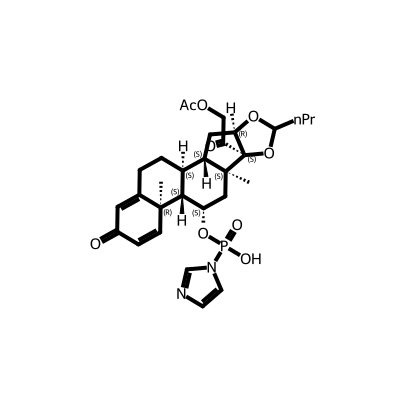 CCCC1O[C@@H]2C[C@H]3[C@@H]4CCC5=CC(=O)C=C[C@]5(C)[C@H]4[C@@H](OP(=O)(O)n4ccnc4)C[C@]3(C)[C@]2(C(=O)COC(C)=O)O1